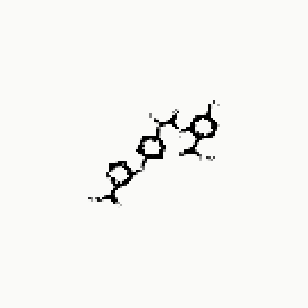 CCN(C(=O)Nc1cc(C(F)(F)F)ccc1C(=O)OC)c1ccc(Oc2ccnc(C(=O)NC)c2)cc1